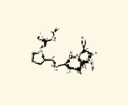 CC(C)OC(=O)N1CCCC1CNc1ccc2ncc(Cl)n2n1